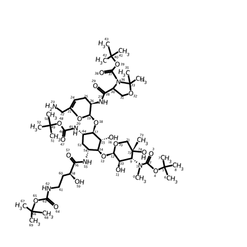 CN(C(=O)OC(C)(C)C)[C@@H]1[C@@H](O)[C@@H](O[C@@H]2[C@@H](O)[C@H](O[C@H]3OC(CN)=CC[C@H]3NC(=O)C3COC(C)(C)N3C(=O)OC(C)(C)C)[C@@H](NC(=O)OC(C)(C)C)C[C@H]2NC(=O)[C@@H](O)CCNC(=O)OC(C)(C)C)OC[C@]1(C)O